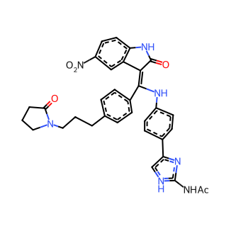 CC(=O)Nc1nc(-c2ccc(N/C(=C3\C(=O)Nc4ccc([N+](=O)[O-])cc43)c3ccc(CCCN4CCCC4=O)cc3)cc2)c[nH]1